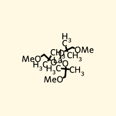 COCC(C)(C)[O][La]([O]C(C)(C)COC)[O]C(C)(C)COC